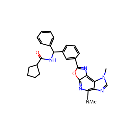 CNc1nc2oc(-c3cccc(C(NC(=O)C4CCCC4)c4ccccc4)c3)nc2c2c1ncn2C